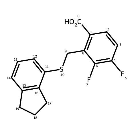 O=C(O)c1ccc(F)c(F)c1CSc1cccc2c1CCC2